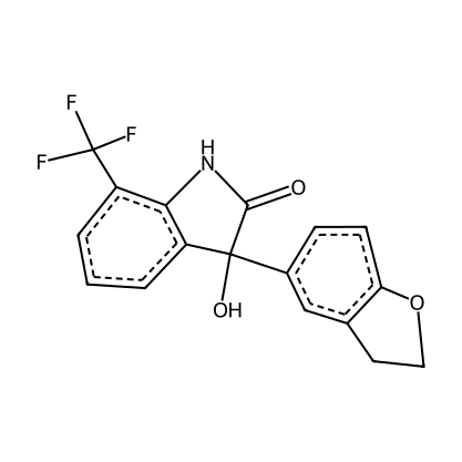 O=C1Nc2c(C(F)(F)F)cccc2C1(O)c1ccc2c(c1)CCO2